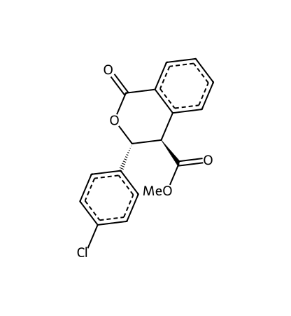 COC(=O)[C@@H]1c2ccccc2C(=O)O[C@H]1c1ccc(Cl)cc1